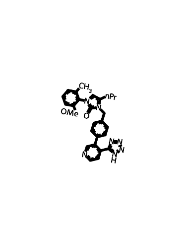 CCCc1cn(-c2c(C)cccc2OC)c(=O)n1Cc1ccc(-c2cnccc2-c2nnn[nH]2)cc1